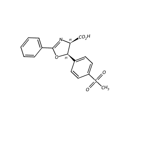 CS(=O)(=O)c1ccc([C@H]2OC(c3ccccc3)=N[C@H]2C(=O)O)cc1